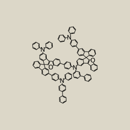 c1ccc(-c2ccc(N(c3ccccc3)c3ccc(-c4ccc5c(c4)C4(c6ccccc6-5)c5ccc(N(c6ccccc6)c6ccccc6)cc5-c5c4oc4cc(-c6ccc(N(c7cccc(-c8ccccc8)c7)c7ccc8c(c7)-c7c(oc9ccccc79)C87c8ccccc8-c8cc(-c9ccc(N(c%10ccccc%10)c%10ccccc%10)cc9)ccc87)cc6)ccc54)cc3)cc2)cc1